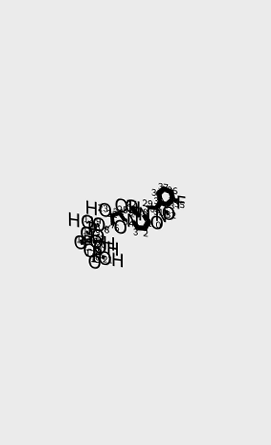 O=c1ccn([C@@H]2O[C@H](COP(=O)(O)OP(=O)(O)OP(=O)(O)O)[C@H](O)C2O)c(=O)n1Cc1noc2c(F)cccc12